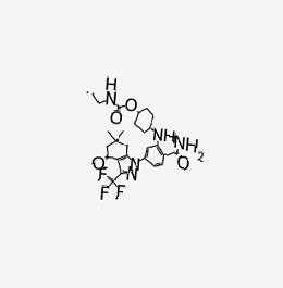 [CH2]CNC(=O)O[C@H]1CC[C@H](Nc2cc(-n3nc(C(F)(F)F)c4c3CC(C)(C)CC4=O)ccc2C(N)=O)CC1